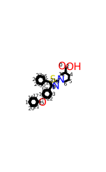 O=C(O)C1CCCN(c2nc(-c3ccc(Oc4ccccc4)cc3)c(-c3ccccc3)s2)C1